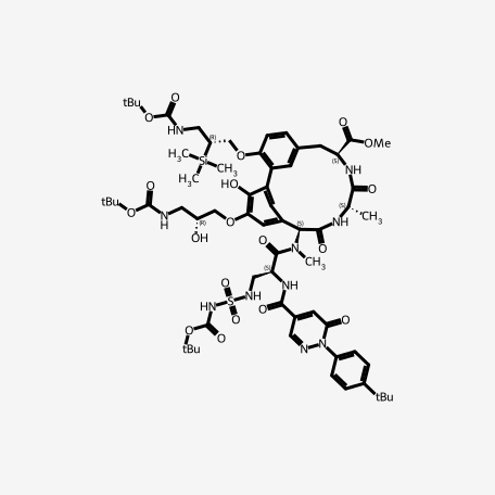 COC(=O)[C@@H]1Cc2ccc(OC[C@@H](CNC(=O)OC(C)(C)C)[Si](C)(C)C)c(c2)-c2cc(cc(OC[C@H](O)CNC(=O)OC(C)(C)C)c2O)[C@H](N(C)C(=O)[C@H](CNS(=O)(=O)NC(=O)OC(C)(C)C)NC(=O)c2cnn(-c3ccc(C(C)(C)C)cc3)c(=O)c2)C(=O)N[C@@H](C)C(=O)N1